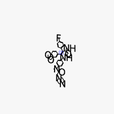 CN1CCN(CC(=O)N(C)c2ccc(N/C(=C3\C(=O)Nc4cc(F)ccc43)c3ccc4c(c3)OCO4)cc2)CC1